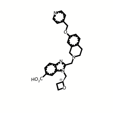 O=C(O)c1ccc2nc(CN3CCc4ccc(OCc5ccncc5)cc4C3)n(C[C@@H]3CCO3)c2c1